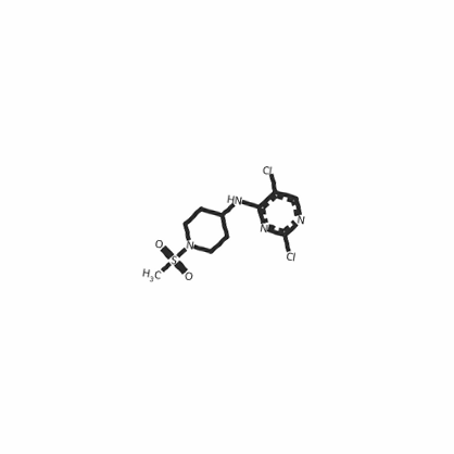 CS(=O)(=O)N1CCC(Nc2nc(Cl)ncc2Cl)CC1